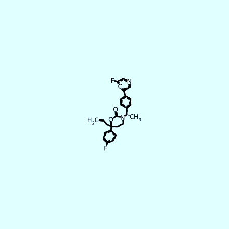 C=CCC1(c2ccc(F)cc2)CCN([C@@H](C)c2ccc(-c3cncc(F)c3)cc2)C(=O)O1